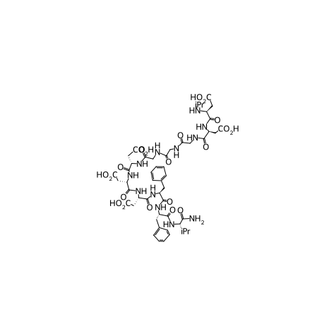 CC(C)N[C@@H](CC(=O)O)C(=O)N[C@@H](CC(=O)O)C(=O)NCC(=O)NCC(=O)NCC(=O)N[C@@H](CC(=O)O)C(=O)N[C@@H](CC(=O)O)C(=O)N[C@@H](CC(=O)O)C(=O)N[C@@H](Cc1ccccc1)C(=O)N[C@@H](Cc1ccccc1)C(=O)N[C@H](C(N)=O)C(C)C